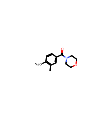 COc1ccc(C(=O)N2CCOCC2)cc1C